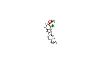 CCCC1CCC(c2cc3ccc(OCC)c(F)c3s2)CC1